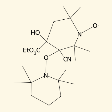 CCOC(=O)C1(O)CC(C)(C)N([O])C(C)(C)C1(C#N)ON1C(C)(C)CCCC1(C)C